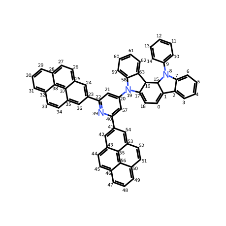 C1=C2c3ccccc3N(c3ccccc3)C2C2C(=C1)N(c1cc(-c3cc4ccc5cccc6ccc(c3)c4c56)nc(-c3cc4ccc5cccc6ccc(c3)c4c56)c1)c1ccccc12